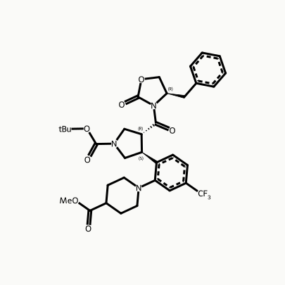 COC(=O)C1CCN(c2cc(C(F)(F)F)ccc2[C@H]2CN(C(=O)OC(C)(C)C)C[C@@H]2C(=O)N2C(=O)OC[C@H]2Cc2ccccc2)CC1